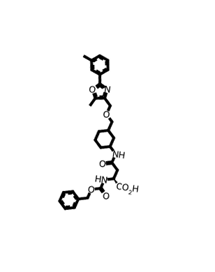 Cc1cccc(-c2nc(COCC3CCCC(NC(=O)C[C@H](NC(=O)OCc4ccccc4)C(=O)O)C3)c(C)o2)c1